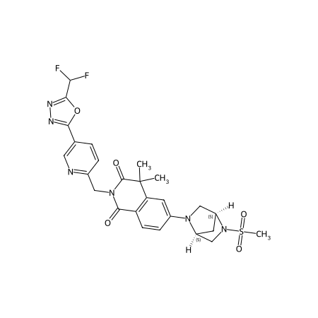 CC1(C)C(=O)N(Cc2ccc(-c3nnc(C(F)F)o3)cn2)C(=O)c2ccc(N3C[C@@H]4C[C@H]3CN4S(C)(=O)=O)cc21